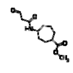 COC(=O)C1CCCC(NC(=O)CC=O)CC1